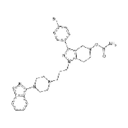 NC(=O)ON1CCc2c(c(-c3ccc(Br)cc3)nn2CCCN2CCN(c3nsc4ccccc34)CC2)C1